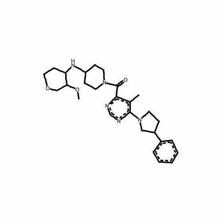 COC1COCCC1NC1CCN(C(=O)c2ncnc(N3CCC(c4ccccc4)C3)c2C)CC1